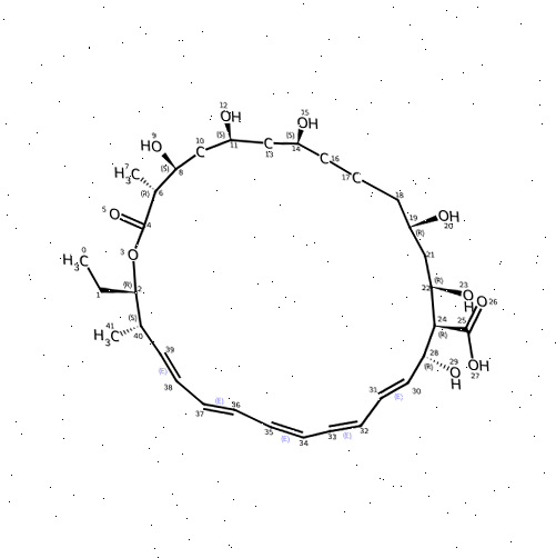 CC[C@H]1OC(=O)[C@H](C)[C@@H](O)C[C@@H](O)C[C@@H](O)CCC[C@@H](O)C[C@@H](O)[C@@H](C(=O)O)[C@H](O)/C=C/C=C/C=C/C=C/C=C/[C@@H]1C